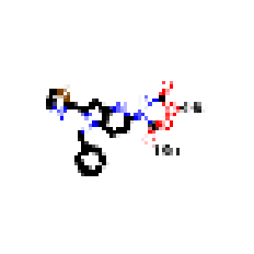 CC(C)(C)OC(=O)NN(C(=O)OC(C)(C)C)c1ccc2c(cc(-c3nccs3)n2Cc2ccccc2)n1